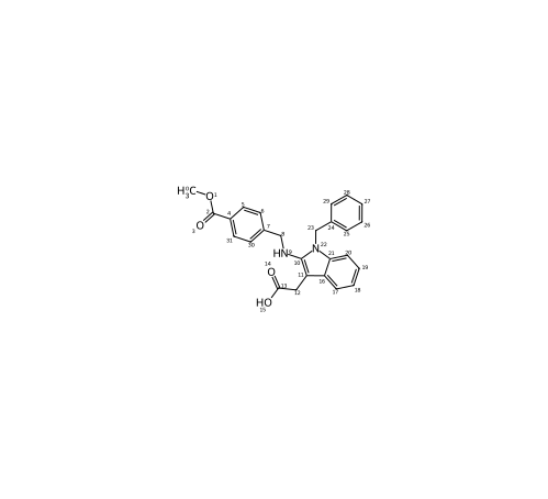 COC(=O)c1ccc(CNc2c(CC(=O)O)c3ccccc3n2Cc2ccccc2)cc1